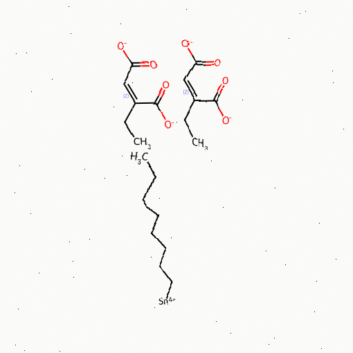 CC/C(=C/C(=O)[O-])C(=O)[O-].CC/C(=C/C(=O)[O-])C(=O)[O-].CCCCCCC[CH2][Sn+4]